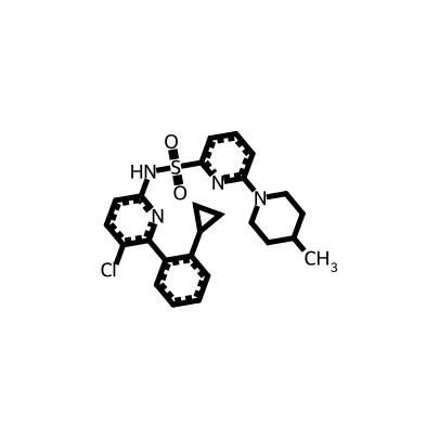 CC1CCN(c2cccc(S(=O)(=O)Nc3ccc(Cl)c(-c4ccccc4C4CC4)n3)n2)CC1